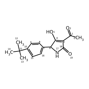 CC(=O)C1=C(O)C(c2ccc(C(C)(C)C)cc2)NC1=O